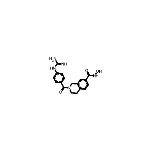 N=C(N)Nc1ccc(C(=O)N2CCc3ccc(C(=O)NO)cc3C2)cc1